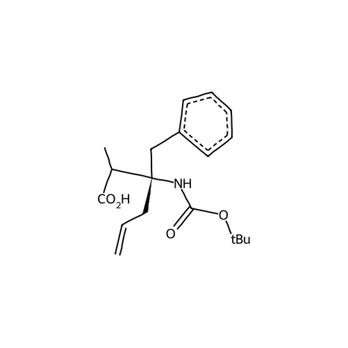 C=CC[C@@](Cc1ccccc1)(NC(=O)OC(C)(C)C)C(C)C(=O)O